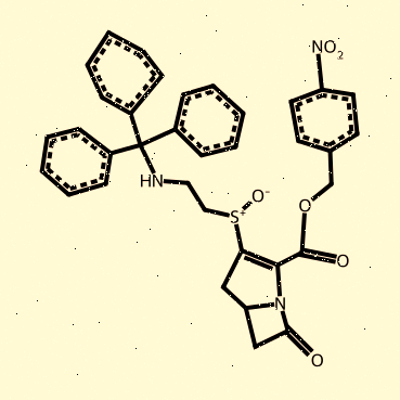 O=C(OCc1ccc([N+](=O)[O-])cc1)C1=C([S+]([O-])CCNC(c2ccccc2)(c2ccccc2)c2ccccc2)CC2CC(=O)N12